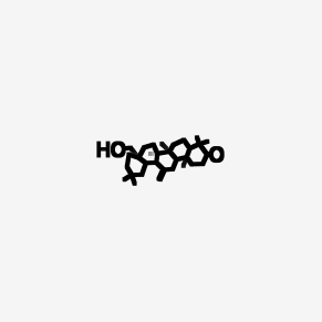 C=C1CC2[C@@]3(C)CCC(=O)C(C)(C)C3CC[C@@]2(C)[C@]2(C)CC[C@@]3(CO)CCC(C)(C)CC3C12